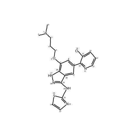 CN(C)CCCOc1cc(-c2ncccc2Cl)cc2c(Nc3nccs3)n[nH]c12